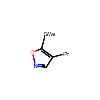 CSc1oncc1C(C)C